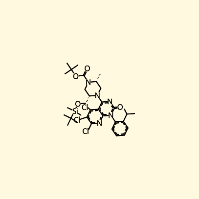 CC(C)c1ccccc1-n1c(=O)nc(N2C[C@@H](C)N(C(=O)OC(C)(C)C)C[C@H]2CO[Si](C)(C)C(C)(C)C)c2c(Cl)c(Cl)c(Cl)nc21